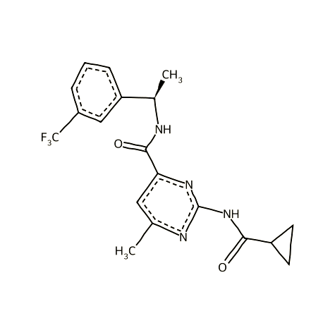 Cc1cc(C(=O)N[C@H](C)c2cccc(C(F)(F)F)c2)nc(NC(=O)C2CC2)n1